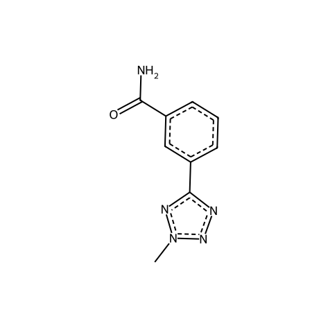 Cn1nnc(-c2cccc(C(N)=O)c2)n1